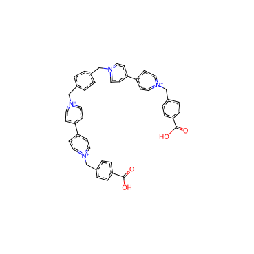 O=C(O)c1ccc(C[n+]2ccc(-c3cc[n+](Cc4ccc(C[n+]5ccc(-c6cc[n+](Cc7ccc(C(=O)O)cc7)cc6)cc5)cc4)cc3)cc2)cc1